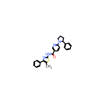 Cc1sc(NC(=O)c2ccc(N3CCCC3c3ccccc3)nc2)nc1-c1ccccc1